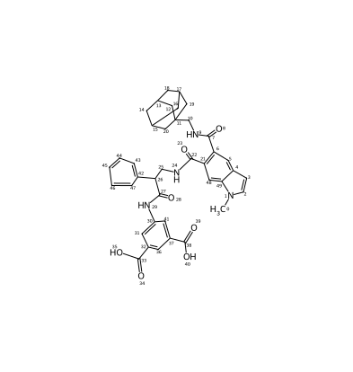 Cn1ccc2cc(C(=O)NCC34CC5CC(CC(C5)C3)C4)c(C(=O)NCC(C(=O)Nc3cc(C(=O)O)cc(C(=O)O)c3)c3ccccc3)cc21